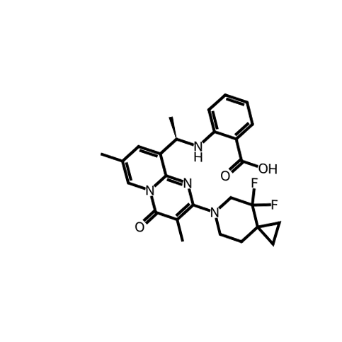 Cc1cc([C@@H](C)Nc2ccccc2C(=O)O)c2nc(N3CCC4(CC4)C(F)(F)C3)c(C)c(=O)n2c1